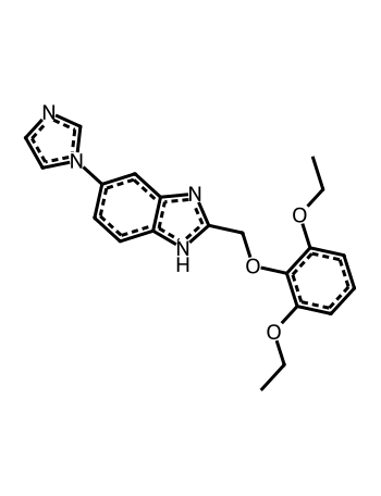 CCOc1cccc(OCC)c1OCc1nc2cc(-n3ccnc3)ccc2[nH]1